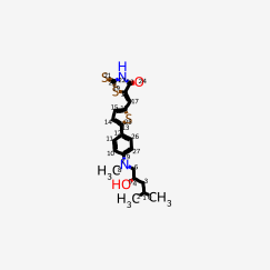 CC(C)CC(O)CN(C)c1ccc(-c2ccc(/C=C3\SC(=S)NC3=O)s2)cc1